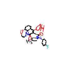 CN(C(=O)c1c(O)c2cccc3c2n(c1=O)CCO3)c1ccc(F)cc1